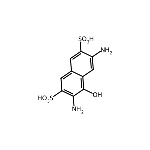 Nc1cc2c(O)c(N)c(S(=O)(=O)O)cc2cc1S(=O)(=O)O